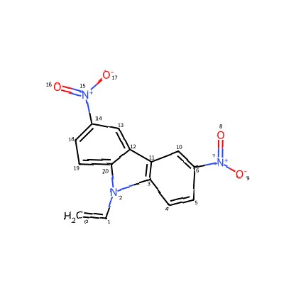 C=Cn1c2ccc([N+](=O)[O-])cc2c2cc([N+](=O)[O-])ccc21